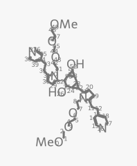 COCCOCCOCCn1c(CCc2ccncc2)ccc1C1C2C1C(O)[C@@H](c1ccc(CCc3ccncc3)n1CCOCCOCCOC)C1C(O)C21